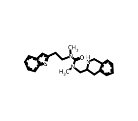 CN(CCc1cc2ccccc2s1)C(=O)N(C)CC1Cc2ccccc2CN1